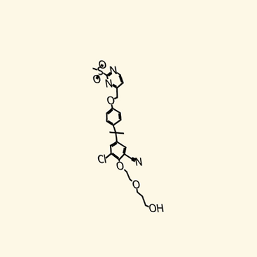 CC(C)(c1ccc(OCc2ccnc(S(C)(=O)=O)n2)cc1)c1cc(Cl)c(OCCOCCCO)c(C#N)c1